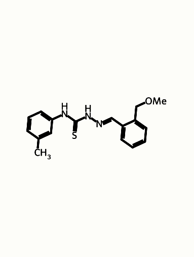 COCc1ccccc1/C=N/NC(=S)Nc1cccc(C)c1